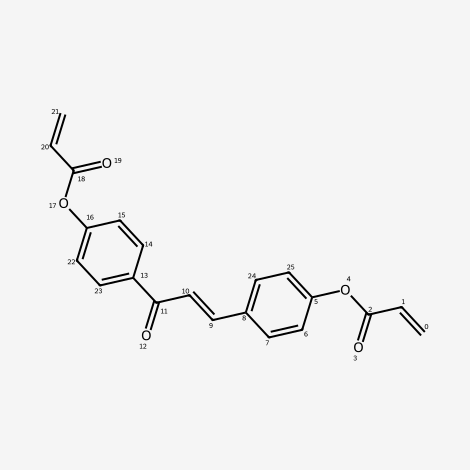 C=CC(=O)Oc1ccc(/C=C/C(=O)c2ccc(OC(=O)C=C)cc2)cc1